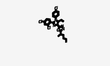 CCCCC(C)c1nnc(C2N=C(c3ccc(Cl)cc3Cl)N(c3ccc(Cl)cc3)C2CC)o1